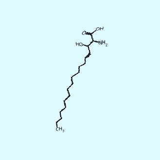 CCCCCCCCCCCCCC=CC(O)C(N)C(=O)O